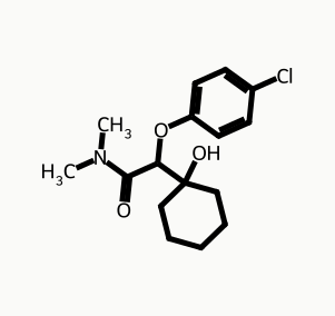 CN(C)C(=O)C(Oc1ccc(Cl)cc1)C1(O)CCCCC1